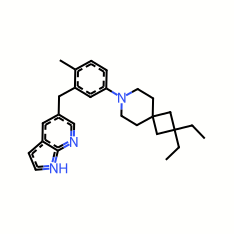 CCC1(CC)CC2(CCN(c3ccc(C)c(Cc4cnc5[nH]ccc5c4)c3)CC2)C1